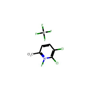 F[B-](F)(F)F.F[n+]1c(C(Cl)(Cl)Cl)ccc(Cl)c1Cl